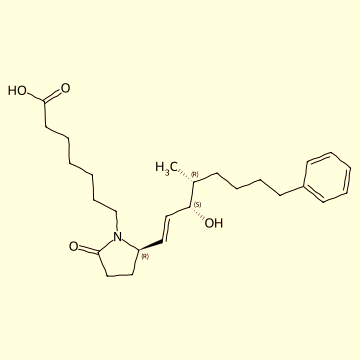 C[C@H](CCCCc1ccccc1)[C@H](O)C=C[C@H]1CCC(=O)N1CCCCCCC(=O)O